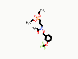 CCOP(=O)(CCCN(OCc1cccc(OC(F)(F)F)c1)C(C)=O)OCC